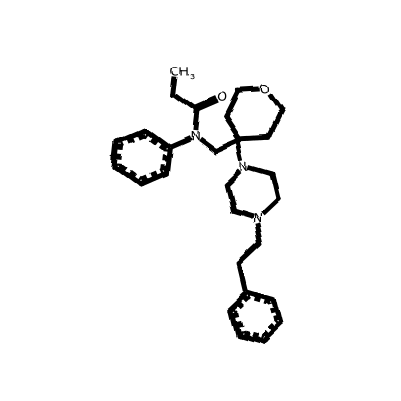 CCC(=O)N(CC1(N2CCN(CCc3ccccc3)CC2)CCOCC1)c1ccccc1